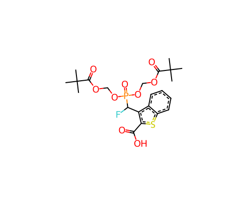 CC(C)(C)C(=O)OCOP(=O)(OCOC(=O)C(C)(C)C)C(F)c1c(C(=O)O)sc2ccccc12